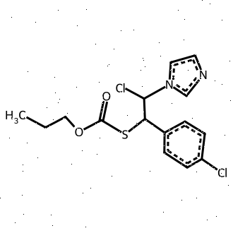 CCCOC(=O)SC(c1ccc(Cl)cc1)C(Cl)n1ccnc1